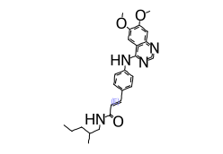 CCCC(C)CNC(=O)/C=C/c1ccc(Nc2ncnc3cc(OC)c(OC)cc23)cc1